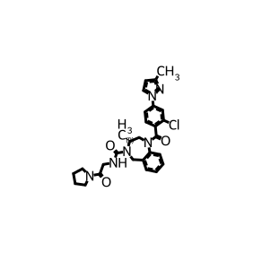 Cc1ccn(-c2ccc(C(=O)N3C[C@@H](C)N(C(=O)NCC(=O)N4CCCC4)Cc4ccccc43)c(Cl)c2)n1